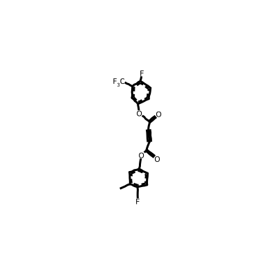 Cc1cc(OC(=O)C#CC(=O)Oc2ccc(F)c(C(F)(F)F)c2)ccc1F